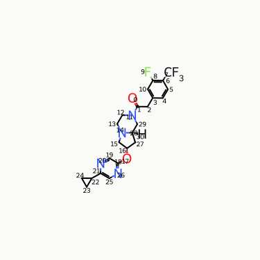 O=C(Cc1ccc(C(F)(F)F)c(F)c1)N1CCN2C[C@H](Oc3cnc(C4CC4)cn3)C[C@H]2C1